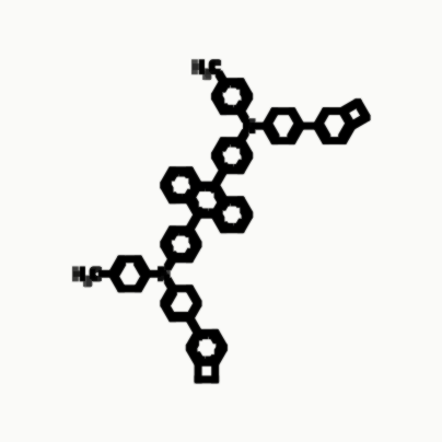 CC1=CC=C(N(C2=CC=C(c3ccc4c(c3)CC4)CC2)c2ccc(-c3c4ccccc4c(-c4ccc(N(C5=CC=C(C6=CC=C7CCC7C6)CC5)c5ccc(C)cc5)cc4)c4ccccc34)cc2)CC1